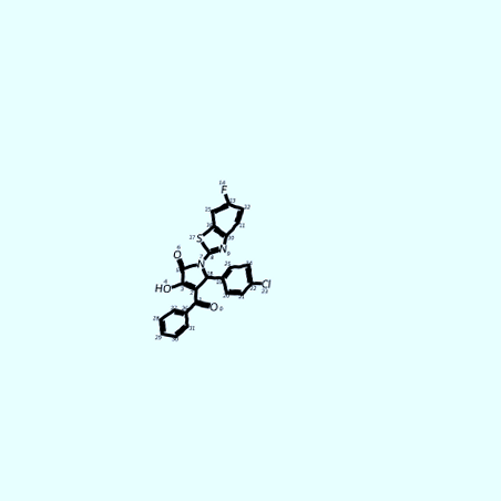 O=C(C1=C(O)C(=O)N(c2nc3ccc(F)cc3s2)C1c1ccc(Cl)cc1)c1ccccc1